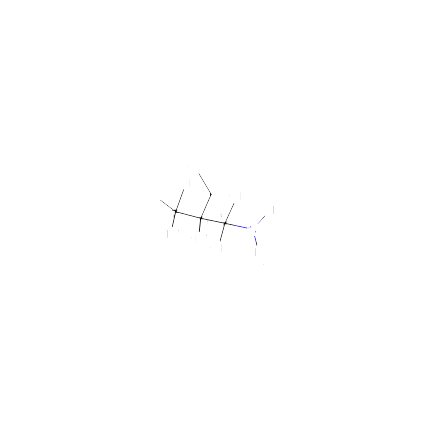 Cl.[2H]CC([2H])(C([2H])([2H])[2H])C([2H])([2H])N([2H])[2H]